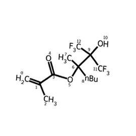 C=C(C)C(=O)OC(C)(CCCC)C(O)(C(F)(F)F)C(F)(F)F